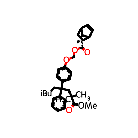 CCC(C)CC(CC(C)(C)C(=O)OC)(c1ccccc1)c1ccc(OCOC(=O)[C@@H]2CC3C=CC2C3)cc1